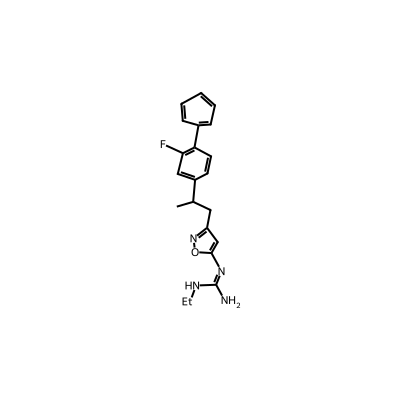 CCNC(N)=Nc1cc(CC(C)c2ccc(-c3ccccc3)c(F)c2)no1